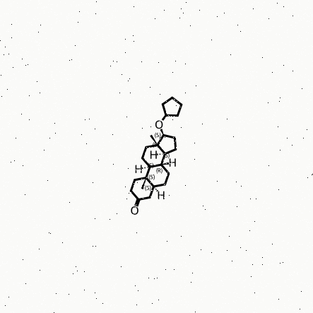 C[C@]12CCC(=O)C[C@@H]1CC[C@@H]1[C@@H]2CC[C@]2(C)[C@@H](OC3CCCC3)CC[C@@H]12